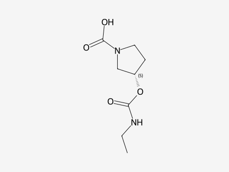 CCNC(=O)O[C@H]1CCN(C(=O)O)C1